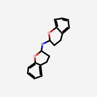 c1ccc2c(c1)CCC([N]C1CCc3ccccc3O1)O2